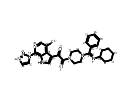 O=C(C(=O)N1CCN(/C(=N/C2CCCCC2)c2ccccc2)CC1)c1c[nH]c2c(-n3ccnn3)ncc(F)c12